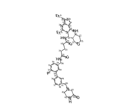 CCc1nc2c(cnn2CC)c(NC2CCOCC2)c1CNC(=O)CCCC(=O)NCc1ccc(F)c(-c2cccc(CN3CCNC(=O)C3)c2)c1